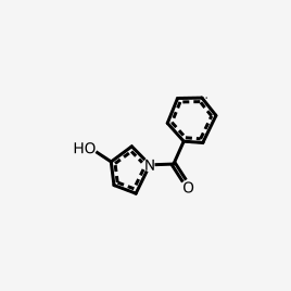 O=C(c1cc[c]cc1)n1ccc(O)c1